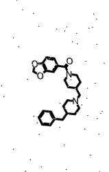 O=C(c1ccc2c(c1)OCO2)N1CCC(CN2CCC(Cc3ccccc3)CC2)CC1